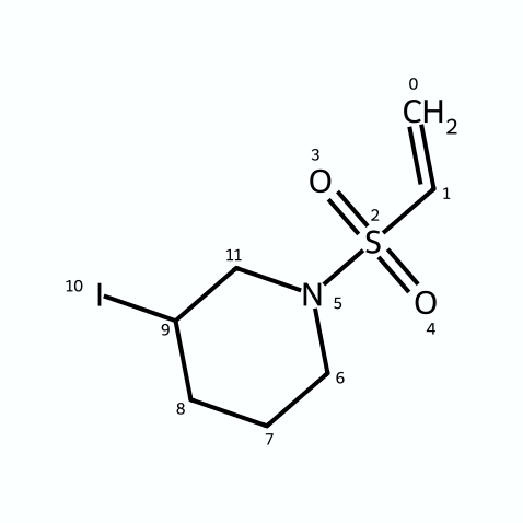 C=CS(=O)(=O)N1CCCC(I)C1